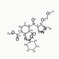 COCOc1c(C(=O)c2ccc(C(=O)OC)c(N=S3(=O)CCCCC3)c2Cl)cnn1C